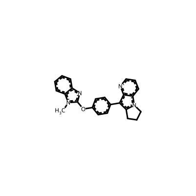 Cn1c(Oc2ccc(-c3c4n(c5cccnc35)CCC4)cc2)nc2ccccc21